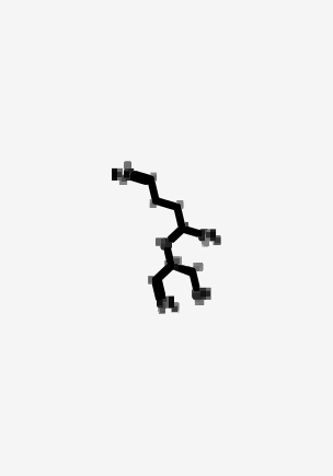 C=CCCC(C)O[C@H](C=C)CO